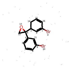 BrC1=CC(C2(c3cccc(Br)c3)CO2)CC=C1